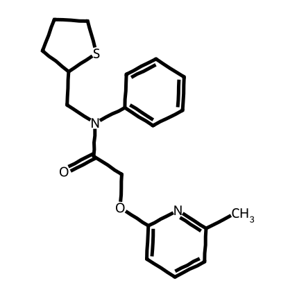 Cc1cccc(OCC(=O)N(CC2CCCS2)c2ccccc2)n1